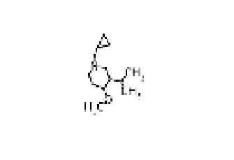 COC1CCN(CC2CC2)C[C@H]1C(C)C